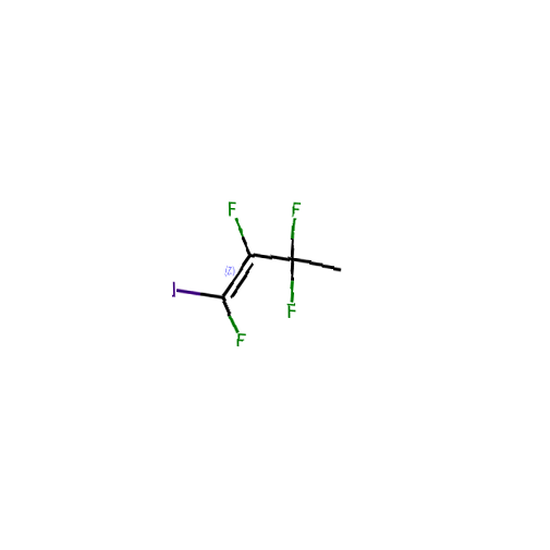 CC(F)(F)/C(F)=C(\F)I